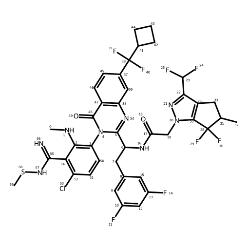 CNc1c(-n2c(C(Cc3cc(F)cc(F)c3)NC(=O)Cn3nc(C(F)F)c4c3C(F)(F)C(C)C4)nc3cc(C(F)(F)C4CCC4)ccc3c2=O)ccc(Cl)c1C(=N)NSC